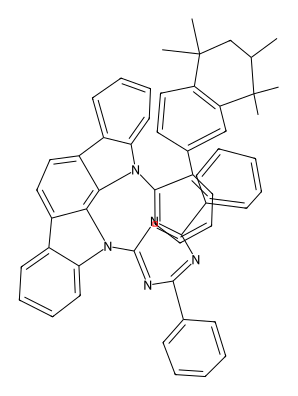 CC1CC(C)(C)c2ccc(-c3ccccc3-n3c4ccccc4c4ccc5c6ccccc6n(-c6nc(-c7ccccc7)nc(-c7ccccc7)n6)c5c43)cc2C1(C)C